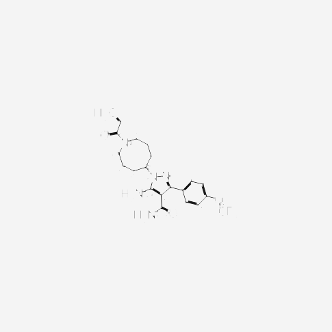 C=CC(=O)N1CCCC(n2nc(-c3ccc(OC(F)(F)F)cc3)c(C(N)=O)c2N)CCC1